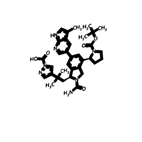 Cc1c[nH]c2ncc(-c3cc4c(c([C@@H]5CCCN5C(=O)OC(C)(C)C)c3)CN(C(N)=O)[C@H]4CC(C)(C)c3cnn(C(=O)O)c3)cc12